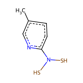 Cc1ccc(N(S)S)nc1